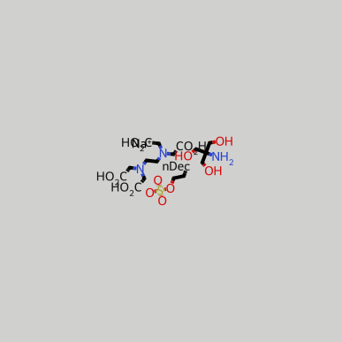 CCCCCCCCCCCCOS(=O)(=O)[O-].NC(CO)(CO)CO.O=C(O)CN(CCN(CC(=O)O)CC(=O)O)CC(=O)O.[Na+]